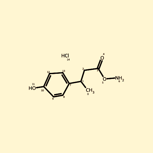 CC(CC(=O)ON)c1ccc(O)cc1.Cl